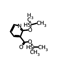 C[SiH](C)OC(=O)c1cccnc1O[SiH](C)C